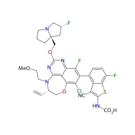 C=C[C@H]1COc2c(Cl)c(-c3ccc(F)c4sc(NC(=O)O)c(C#N)c34)c(F)c3nc(OC[C@@]45CCCN4C[C@H](F)C5)nc(c23)N1CCOC